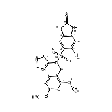 COc1ccc(CN(c2ncns2)S(=O)(=O)c2cc3oc(=O)[nH]c3cc2Cl)c(OC)c1